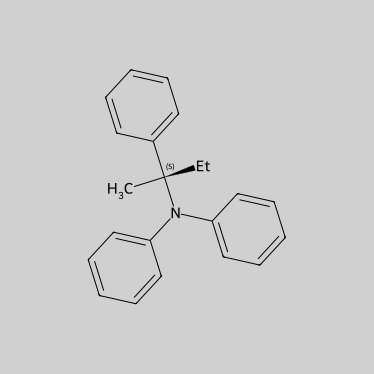 CC[C@@](C)(c1ccccc1)N(c1ccccc1)c1ccccc1